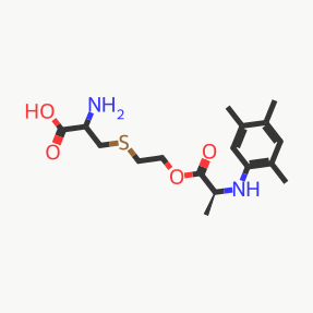 Cc1cc(C)c(N[C@@H](C)C(=O)OCCSCC(N)C(=O)O)cc1C